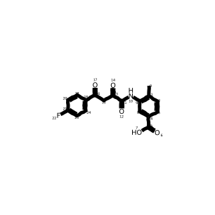 Cc1ccc(C(=O)O)cc1NC(=O)C(=O)CC(=O)c1ccc(F)cc1